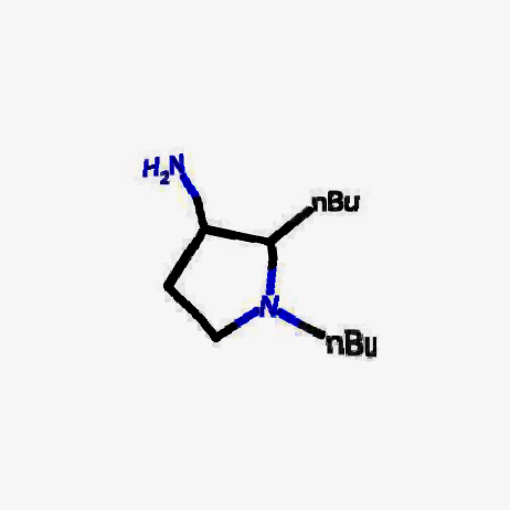 CCCCC1C(N)CCN1CCCC